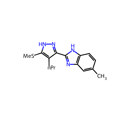 CCCc1c(-c2nc3cc(C)ccc3[nH]2)n[nH]c1SC